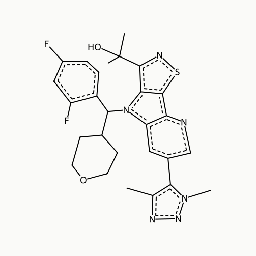 Cc1nnn(C)c1-c1cnc2c3snc(C(C)(C)O)c3n(C(c3ccc(F)cc3F)C3CCOCC3)c2c1